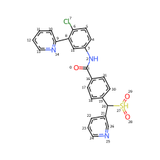 O=C(Nc1ccc(Cl)c(-c2ccccn2)c1)c1ccc(C(c2cccnc2)[SH](=O)=O)cc1